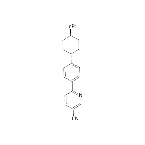 CCC[C@H]1CC[C@H](c2ccc(-c3ccc(C#N)cn3)cc2)CC1